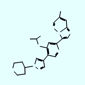 CC(C)Nc1cc(-c2cnc3cc(Cl)cnn23)ncc1-c1cnn(C2CCOCC2)c1